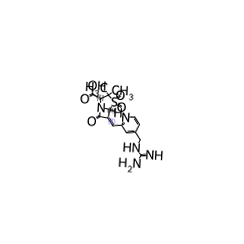 CC1(C)[C@H](C(=O)O)N2C(=O)/C(=C/c3cc(CNC(=N)N)ccn3)[C@H]2S1(=O)=O